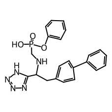 O=P(O)(CNC(Cc1ccc(-c2ccccc2)cc1)c1nnn[nH]1)Oc1ccccc1